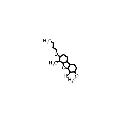 CCCCOC1CCC2C3CCC(OC)C(S)C3OC2C1C